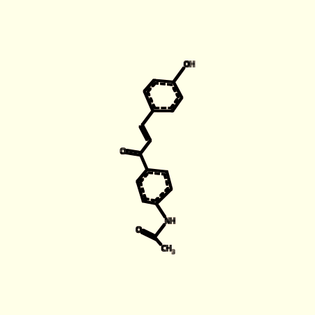 CC(=O)Nc1ccc(C(=O)C=Cc2ccc(O)cc2)cc1